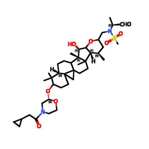 C[C@@H]1CC(CN([C@@H](C)C=O)S(C)(=O)=O)OC2[C@H]1C1(C)CCC34CC35CCC(O[C@H]3CN(C(=O)CC6CC6)CCO3)C(C)(C)[C@@H]5CCC4[C@]1(C)[C@H]2O